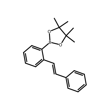 CC1(C)OB(c2ccccc2C=Cc2ccccc2)OC1(C)C